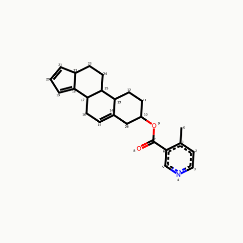 Cc1ccncc1C(=O)OC1CCC2C(=CCC3C4=CC=CC4CCC23)C1